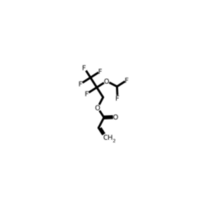 C=CC(=O)OCC(F)(OC(F)F)C(F)(F)F